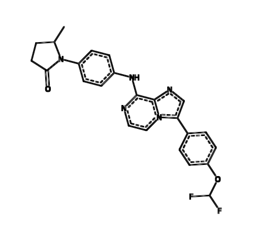 CC1CCC(=O)N1c1ccc(Nc2nccn3c(-c4ccc(OC(F)F)cc4)cnc23)cc1